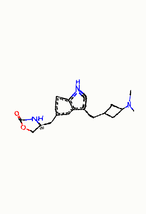 CN(C)C1CC(Cc2c[nH]c3ccc(C[C@H]4COC(=O)N4)cc23)C1